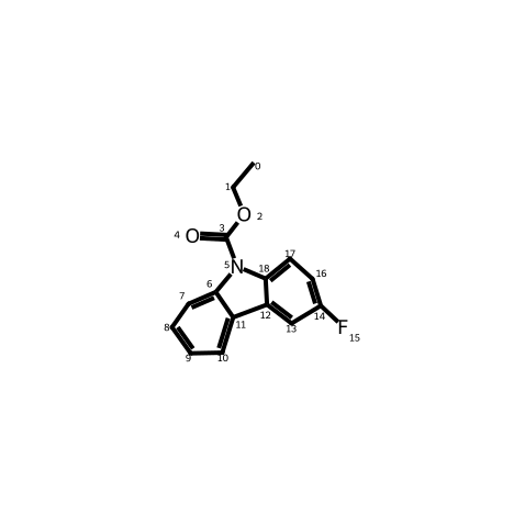 CCOC(=O)n1c2ccccc2c2cc(F)ccc21